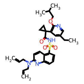 C=CCN(CC=C)c1ccc2c(S(=O)(=O)NC(=O)C3(c4cc(CC)cnc4OCC(C)C)CC3)cccc2n1